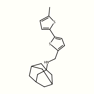 Cc1ccc(-c2ccc(CNC34CC5CC(CC(C5)C3)C4)s2)s1